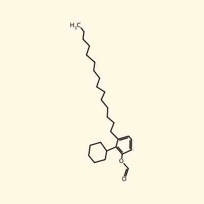 CCCCCCCCCCCCCCCc1cc[c]c(OC=O)c1C1CCCCC1